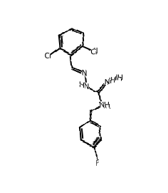 I.N=C(NCc1ccc(F)cc1)NN=Cc1c(Cl)cccc1Cl